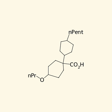 CCCCCC1CCC(C2(C(=O)O)CCC(OCCC)CC2)CC1